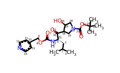 CC(C)C[C@H](NC(=O)OCc1ccncc1)C(=O)C1CN(C(=O)OC(C)(C)C)CC1O